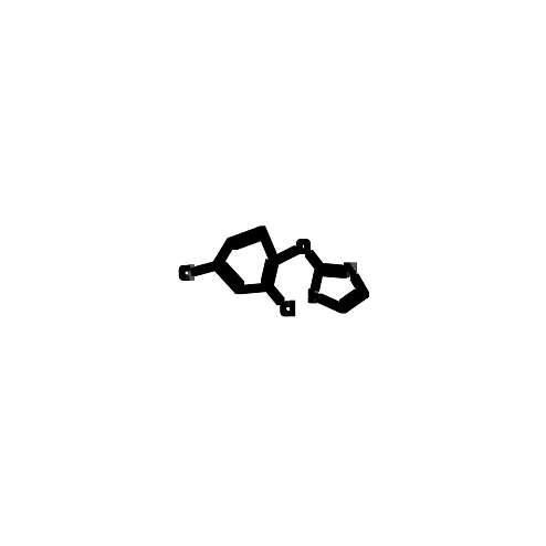 Clc1ccc(Oc2nccs2)c(Cl)c1